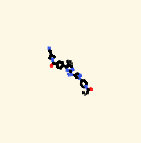 CC(=O)N1CCC(n2cc(Nc3ncc(C)c(-c4ccc(C(=O)N5CC(C#N)C5)cc4)n3)cn2)CC1